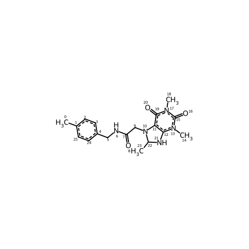 Cc1ccc(CNC(=O)CN2c3c(n(C)c(=O)n(C)c3=O)NC2C)cc1